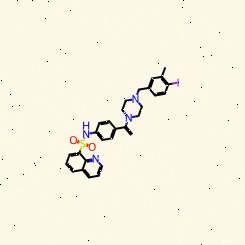 C=C(c1ccc(NS(=O)(=O)c2cccc3cccnc23)cc1)N1CCN(Cc2ccc(I)c(C)c2)CC1